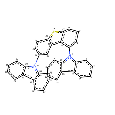 c1cc(-n2c3ccccc3c3ccccc32)c2c(c1)sc1ccc(-n3c4ccccc4c4ccccc43)cc12